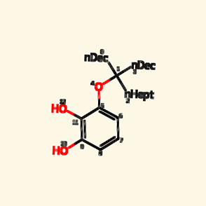 CCCCCCCCCCC(CCCCCCC)(CCCCCCCCCC)Oc1cccc(O)c1O